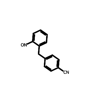 N#Cc1ccc(Cc2ccccc2N=O)cc1